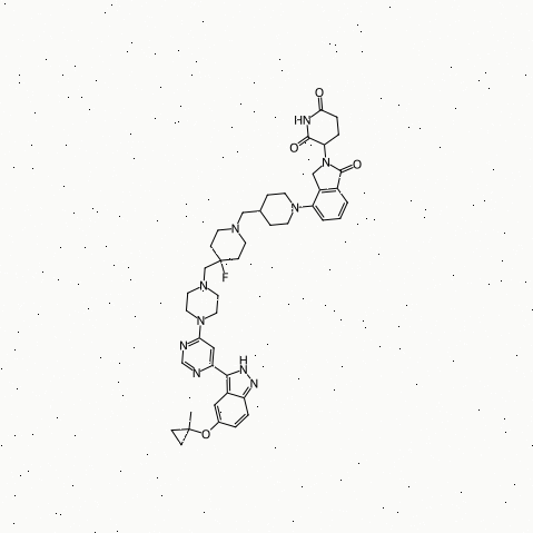 CC1(Oc2ccc3n[nH]c(-c4cc(N5CCN(CC6(F)CCN(CC7CCN(c8cccc9c8CN(C8CCC(=O)NC8=O)C9=O)CC7)CC6)CC5)ncn4)c3c2)CC1